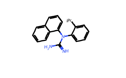 CC(C)c1ccccc1N(C(=N)N)c1cccc2ccccc12